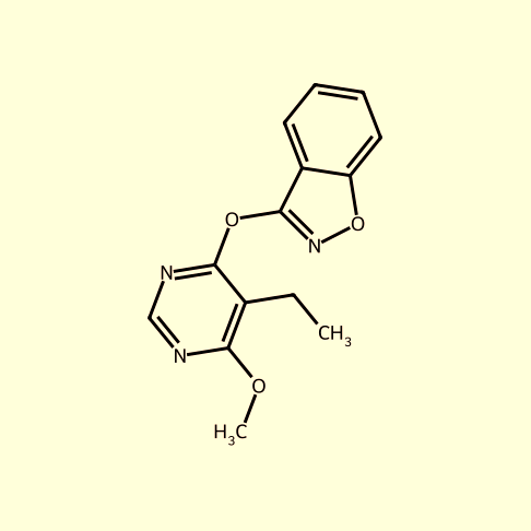 CCc1c(OC)ncnc1Oc1noc2ccccc12